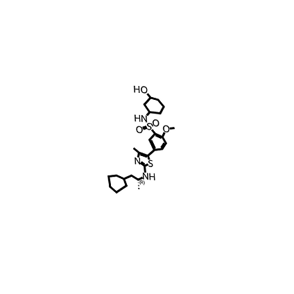 COc1ccc(-c2sc(N[C@H](C)CC3CCCCC3)nc2C)cc1S(=O)(=O)NC1CCCC(O)C1